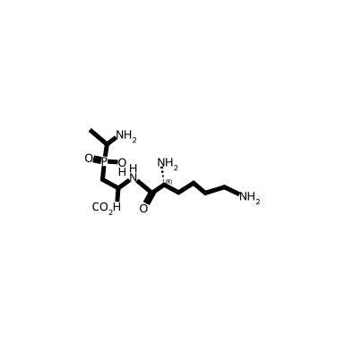 CC(N)P(=O)(O)CC(NC(=O)[C@H](N)CCCCN)C(=O)O